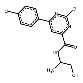 CC(CO)NC(=O)c1cc(-c2ccc(Cl)cc2)nc(Cl)n1